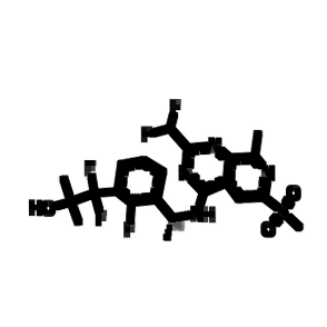 Cc1nc(S(C)(=O)=O)cc2c(N[C@H](C)c3cccc(C(F)(F)C(C)(C)O)c3F)nc(C(F)F)nc12